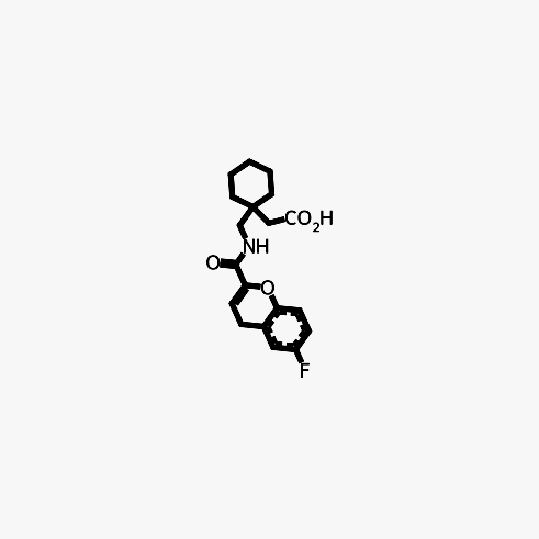 O=C(O)CC1(CNC(=O)C2=CCc3cc(F)ccc3O2)CCCCC1